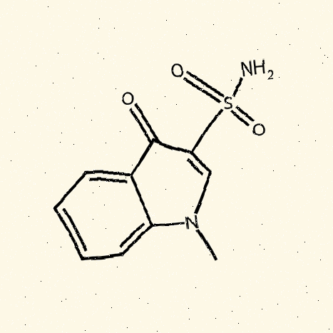 Cn1cc(S(N)(=O)=O)c(=O)c2ccccc21